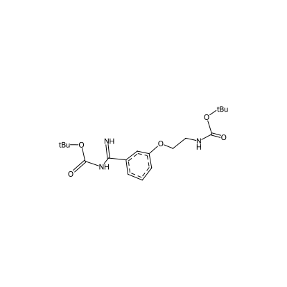 CC(C)(C)OC(=O)NCCOc1cccc(C(=N)NC(=O)OC(C)(C)C)c1